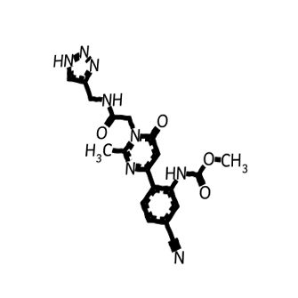 COC(=O)Nc1cc(C#N)ccc1-c1cc(=O)n(CC(=O)NCc2c[nH]nn2)c(C)n1